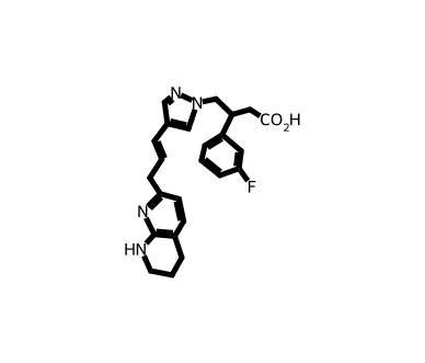 O=C(O)CC(Cn1cc(C=CCc2ccc3c(n2)NCCC3)cn1)c1cccc(F)c1